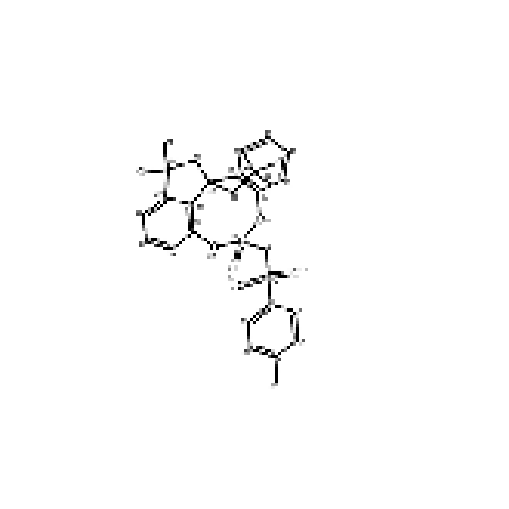 Cc1ccc(S(=O)(=O)CP2(=O)Oc3cccc4c3C3(CC4(C)C)CC(C)(C)c4cccc(c43)O2)cc1